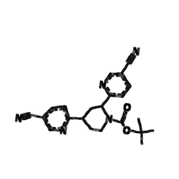 CC(C)(C)OC(=O)N1CCC(c2ccc(C#N)cn2)CC1c1ccc(C#N)cn1